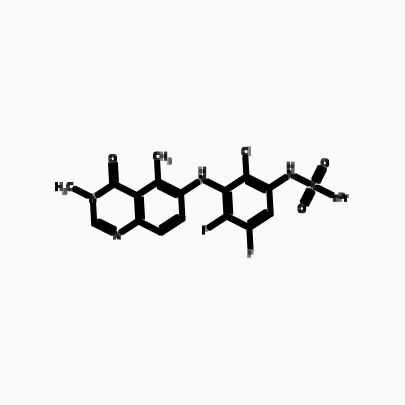 CCCS(=O)(=O)Nc1cc(F)c(F)c(Nc2ccc3ncn(C)c(=O)c3c2C)c1Cl